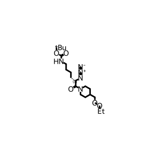 CCOOCC1CCN(C(=O)[C@H](CCCCNC(=O)OC(C)(C)C)N=[N+]=[N-])CC1